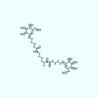 C[C@@H](CCCCNC(=O)CCCCOC1OC(CO)C(O)C(O)C1O)NC(=O)CCCCOC1OC(CO)C(O)C(O)C1O